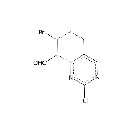 O=CC1c2nc(Cl)ncc2CCC1Br